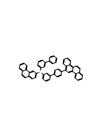 c1ccc(-c2cccc(N(c3cccc(-c4ccc(-c5cc6c7ccccc7ccc6c6ccccc56)cc4)c3)c3ccc4ccc5ccccc5c4c3)c2)cc1